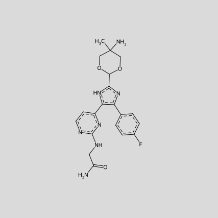 CC1(N)COC(c2nc(-c3ccc(F)cc3)c(-c3ccnc(NCC(N)=O)n3)[nH]2)OC1